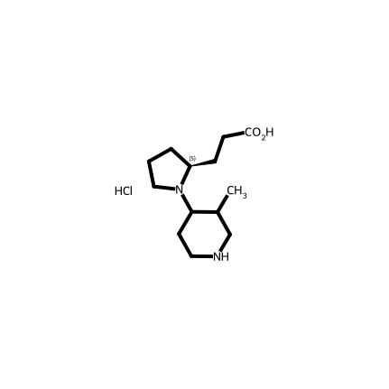 CC1CNCCC1N1CCC[C@H]1CCC(=O)O.Cl